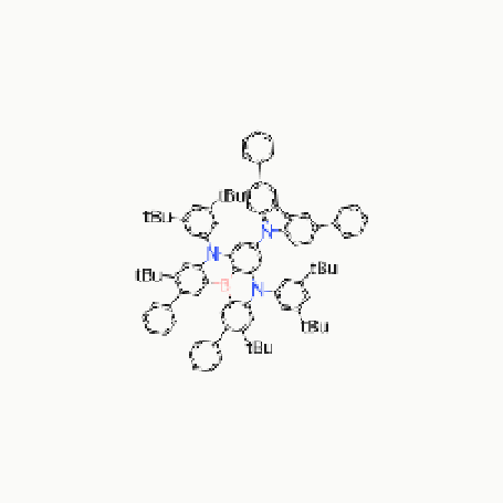 CC(C)(C)c1cc(N2c3cc(C(C)(C)C)c(-c4ccccc4)cc3B3c4cc(-c5ccccc5)c(C(C)(C)C)cc4N(c4cc(C(C)(C)C)cc(C(C)(C)C)c4)c4cc(-n5c6ccc(-c7ccccc7)cc6c6cc(-c7ccccc7)ccc65)cc2c43)cc(C(C)(C)C)c1